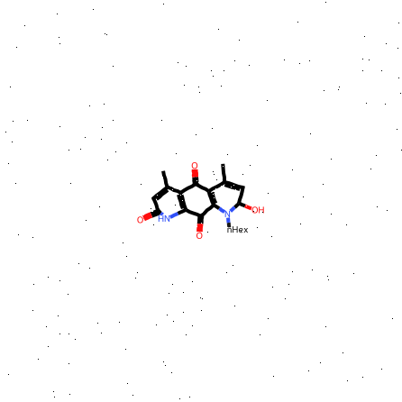 CCCCCCN1C2=C(C(=O)c3c(C)cc(=O)[nH]c3C2=O)C(C)=CC1O